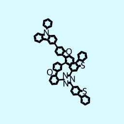 c1ccc(-n2c3ccccc3c3cc(-c4ccc5c(c4)oc4cccc(-c6ccc7oc8cccc(-c9nc(-c%10ccc%11c(c%10)sc%10ccccc%10%11)nc(-c%10ccc%11c(c%10)sc%10ccccc%10%11)n9)c8c7c6)c45)ccc32)cc1